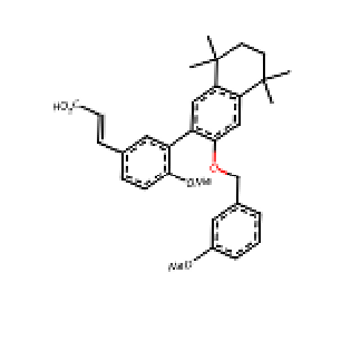 COc1cccc(COc2cc3c(cc2-c2cc(C=CC(=O)O)ccc2OC)C(C)(C)CCC3(C)C)c1